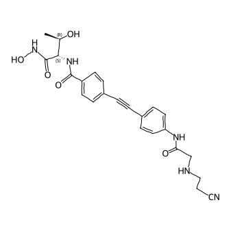 C[C@@H](O)[C@H](NC(=O)c1ccc(C#Cc2ccc(NC(=O)CNCCC#N)cc2)cc1)C(=O)NO